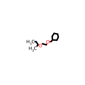 CCC(C)OCCOCC1CCCCC1